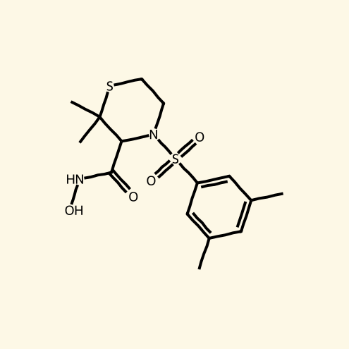 Cc1cc(C)cc(S(=O)(=O)N2CCSC(C)(C)C2C(=O)NO)c1